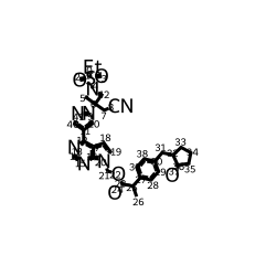 CCS(=O)(=O)N1CC(CC#N)(n2cc(-c3ncnc4c3ccn4COC(=O)C(C)c3ccc(CC4CCCC4=O)cc3)cn2)C1